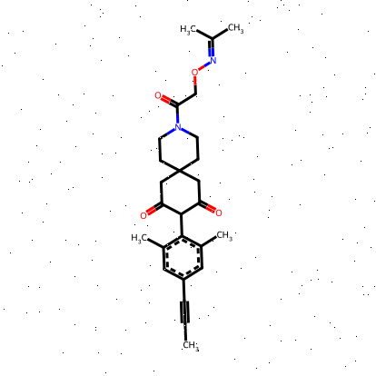 CC#Cc1cc(C)c(C2C(=O)CC3(CCN(C(=O)CON=C(C)C)CC3)CC2=O)c(C)c1